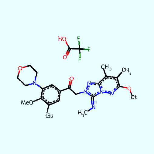 CCOc1nn2/c(=N/C)n(CC(=O)c3cc(N4CCOCC4)c(OC)c(C(C)(C)C)c3)nc2c(C)c1C.O=C(O)C(F)(F)F